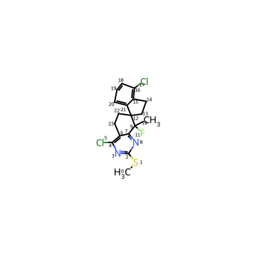 CSc1nc(Cl)c2c(n1)C(C)(F)C1(CCc3c(Cl)cccc31)CC2